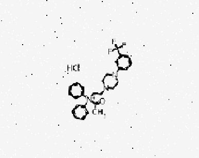 CC(=O)[N+](CCN1CCN(c2cccc(C(F)(F)F)c2)CC1)(c1ccccc1)c1ccccc1.Cl